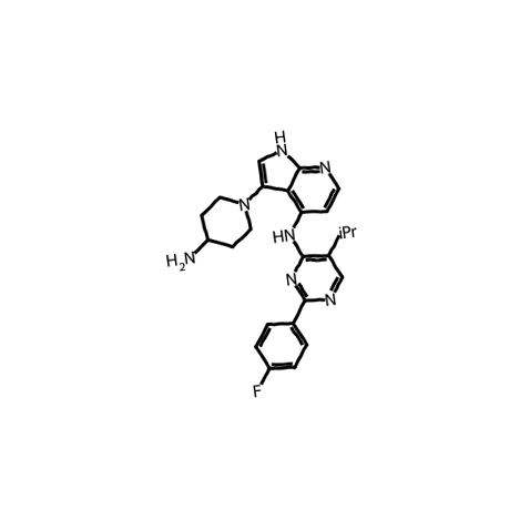 CC(C)c1cnc(-c2ccc(F)cc2)nc1Nc1ccnc2[nH]cc(N3CCC(N)CC3)c12